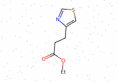 CCOC(=O)CCc1cs[c]n1